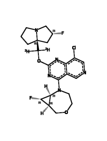 [2H]C([2H])(Oc1nc(N2CCOC[C@H]3[C@H](F)[C@H]32)c2cncc(Cl)c2n1)[C@@]12CCCN1C[C@H](F)C2